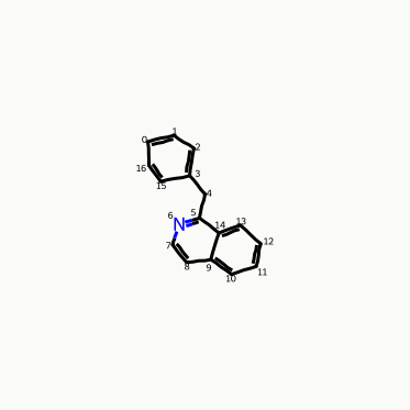 c1ccc(Cc2nccc3ccccc23)cc1